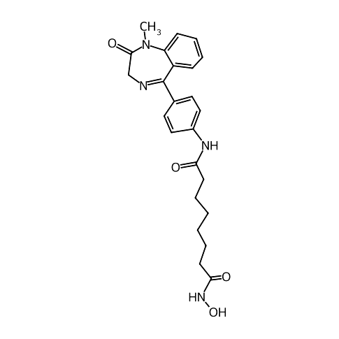 CN1C(=O)CN=C(c2ccc(NC(=O)CCCCCCC(=O)NO)cc2)c2ccccc21